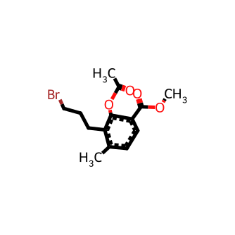 COC(=O)c1ccc(C)c(CCCBr)c1OC(C)=O